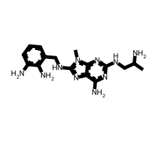 CC(N)CNc1nc(N)c2nc(NCc3cccc(N)c3N)n(C)c2n1